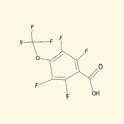 O=C(O)c1c(F)c(F)c(OC(F)(F)F)c(F)c1F